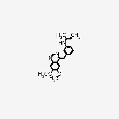 C=CC(C)Nc1cccc(Cc2ncnc3c2=CC(OC)C(OC)C=3)c1